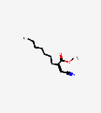 CCCCCCCC(=CC#N)C(=O)OC